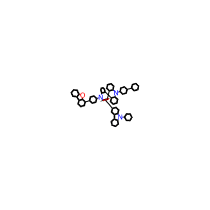 c1ccc(-c2ccc(N3c4ccccc4C4(c5ccccc53)c3ccccc3N(c3ccc(-c5cccc6c5oc5ccccc56)cc3)c3ccc(-c5ccc6c(c5)c5ccccc5n6-c5ccccc5)cc34)cc2)cc1